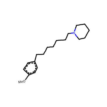 COc1ccc(CCCCCCCN2CCCCC2)cc1